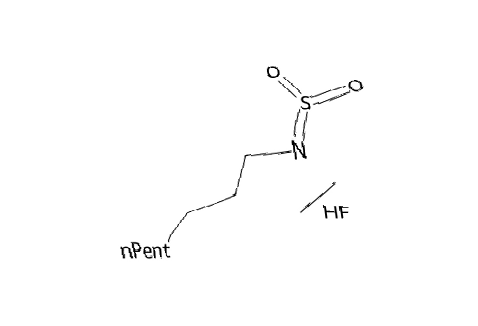 CC.CCCCCCCCN=S(=O)=O.F